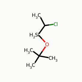 CC(Cl)[SiH2]OC(C)(C)C